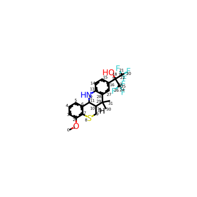 COc1cccc2c1SC[C@H]1C2Nc2ccc(C(O)(C(F)(F)F)C(F)(F)F)cc2C1(C)C